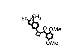 CCc1cc2cc(C3CCC3C(=O)c3cc(OC)ccc3OC)ccc2n1C